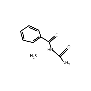 NC(=O)NC(=O)c1ccccc1.S